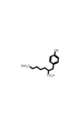 CCOC(=O)CCCCC(Cc1ccc(C#N)cc1)C(=O)O